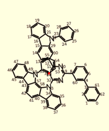 c1ccc(-c2cccc(-c3nc(-c4ccc5c6ccccc6n(-c6ccccc6)c5c4)nc(-n4c5ccccc5c5ccc6c7ccccc7n(-c7ccccc7)c6c54)n3)c2)cc1